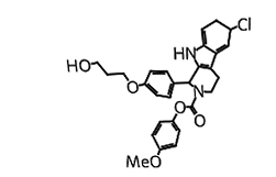 COc1ccc(OC(=O)N2CCc3c([nH]c4c3=CC(Cl)CC=4)C2c2ccc(OCCCO)cc2)cc1